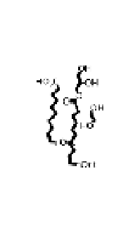 CCCCCCCC/C=C\CCCCCCCC(=O)O.CCCCCCCC/C=C\CCCCCCCC(=O)OCC(O)CO.OCCO